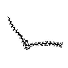 CCCCCCCCCCCCCCCCCC(=O)OC(CC)OC(=O)CCCCCCCCCCCCCCCCC